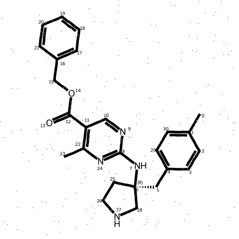 Cc1ccc(C[C@@]2(Nc3ncc(C(=O)OCc4ccccc4)c(C)n3)CCNC2)cc1